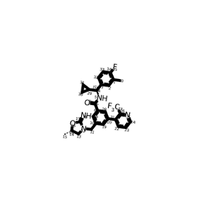 Cc1cc([C@@H](NC(=O)c2cc(CN3C[C@H](C)OC3=N)cc(-c3cccnc3C(F)(F)F)c2)C2CC2)ccc1F